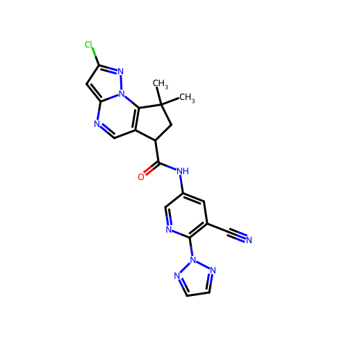 CC1(C)CC(C(=O)Nc2cnc(-n3nccn3)c(C#N)c2)c2cnc3cc(Cl)nn3c21